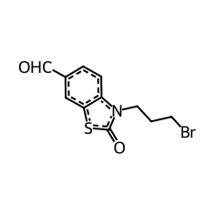 O=Cc1ccc2c(c1)sc(=O)n2CCCBr